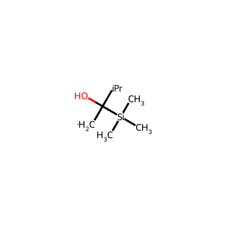 [CH2]C(O)(C(C)C)[Si](C)(C)C